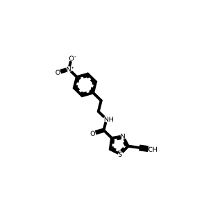 C#Cc1nc(C(=O)NCCc2ccc([N+](=O)[O-])cc2)cs1